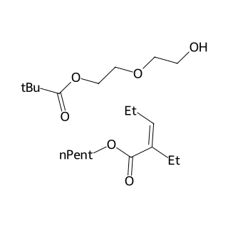 CC(C)(C)C(=O)OCCOCCO.CCC=C(CC)C(=O)OCCCCC